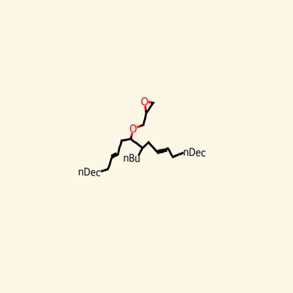 CCCCCCCCCCCC=CCC(CCCC)C(CC=CCCCCCCCCCCC)OCC1CO1